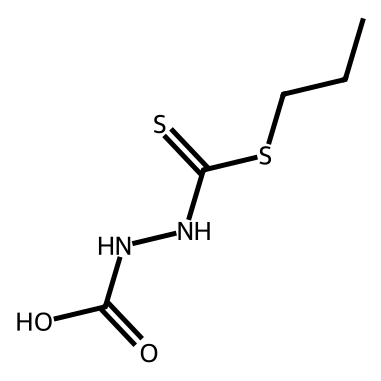 CCCSC(=S)NNC(=O)O